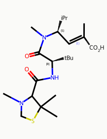 C/C(=C\[C@H](C(C)C)N(C)C(=O)[C@H](NC(=O)C1N(C)CSC1(C)C)C(C)(C)C)C(=O)O